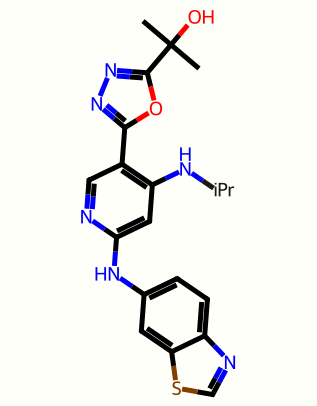 CC(C)Nc1cc(Nc2ccc3ncsc3c2)ncc1-c1nnc(C(C)(C)O)o1